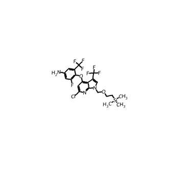 C[Si](C)(C)CCOCn1cc(C(F)(F)F)c2c(Oc3c(F)cc(N)cc3C(F)(F)F)cc(Cl)nc21